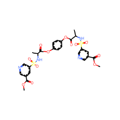 COC(=O)c1cncc(S(=O)(=O)NC(C)C(=O)Oc2ccc(OC(=O)C(C)NS(=O)(=O)c3cncc(C(=O)OC)c3)cc2)c1